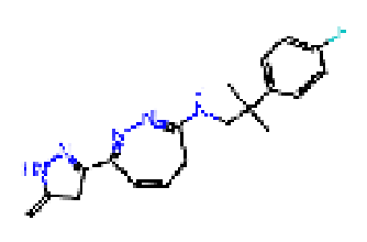 C=C1CC(C2=NN=C(NCC(C)(C)c3ccc(F)cc3)CC=C2)=NN1